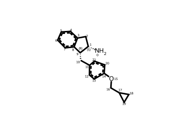 N[C@H]1Cc2ccccc2[C@H]1Cc1ccc(OCC2CC2)cc1